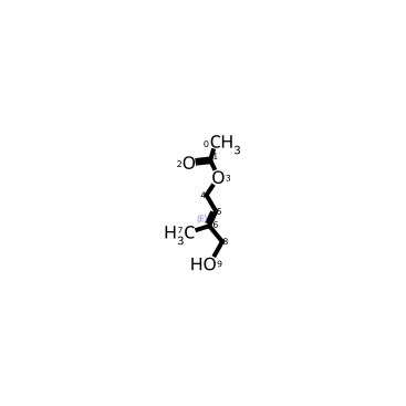 CC(=O)OC/C=C(\C)CO